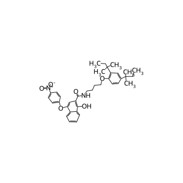 CCC(C)(C)c1ccc(OCCCCNC(=O)c2cc(Oc3ccc([N+](=O)[O-])cc3)c3ccccc3c2O)c(C(C)(C)CC)c1